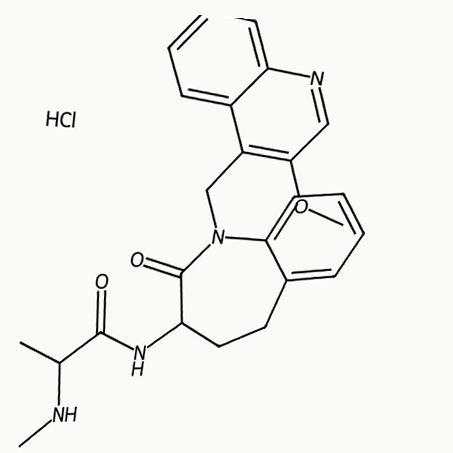 CNC(C)C(=O)NC1CCc2ccccc2N(Cc2c(OC)cnc3ccccc23)C1=O.Cl